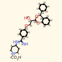 N=C(NC1CCN(C(=O)O)CC1)c1ccc(OC[C@@H](O)C(=O)OC(c2ccccc2)c2ccccc2)cc1